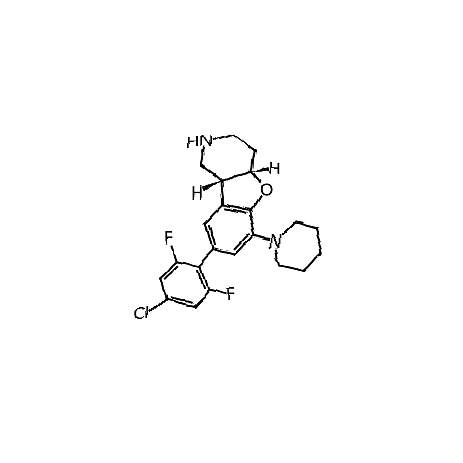 Fc1cc(Cl)cc(F)c1-c1cc2c(c(N3CCCCC3)c1)O[C@H]1CCNC[C@@H]21